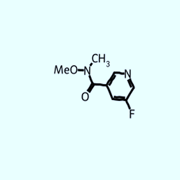 CON(C)C(=O)c1cncc(F)c1